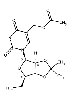 CC[C@H]1O[C@@H](n2cc(COC(C)=O)c(=O)[nH]c2=O)[C@H]2OC(C)(C)OC12